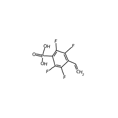 C=Cc1c(F)c(F)c(P(=O)(O)O)c(F)c1F